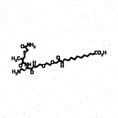 C[C@@H](CSCC(N)=O)C(=O)N[C@@H](CCN)C(=O)NCCOCCOCC(=O)NCCCCCCCCCCC(=O)O